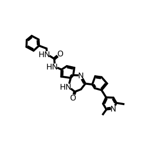 Cc1cc(-c2cccc(C3=Nc4ccc(NC(=O)NCc5ccccc5)cc4NC(=O)C3)c2)cc(C)n1